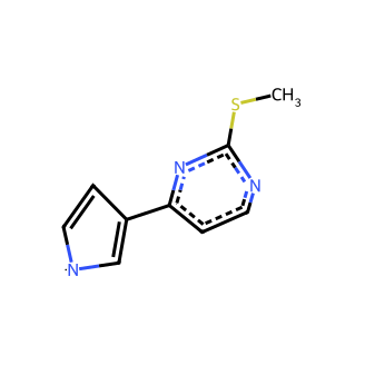 CSc1nccc(C2=C[N]C=C2)n1